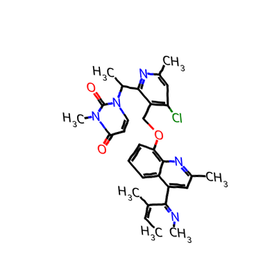 C/C=C(C)\C(=N/C)c1cc(C)nc2c(OCc3c(Cl)cc(C)nc3C(C)n3ccc(=O)n(C)c3=O)cccc12